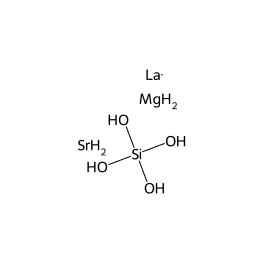 O[Si](O)(O)O.[La].[MgH2].[SrH2]